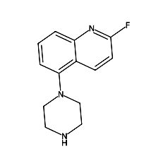 Fc1ccc2c(N3CCNCC3)cccc2n1